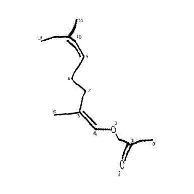 CC(=O)OC=C(C)CCC=C(C)C